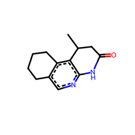 CC1CC(=O)Nc2ncc3c(c21)CCCC3